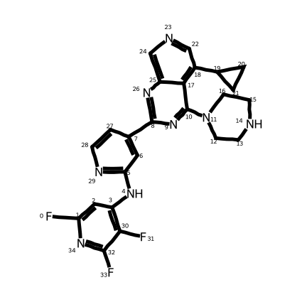 Fc1cc(Nc2cc(-c3nc(N4CCNCC4)c4c(C5CC5)cncc4n3)ccn2)c(F)c(F)n1